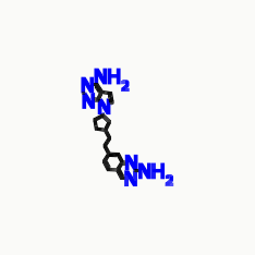 Nc1ncc2ccc(CCC3CCC(n4ccc5c(N)ncnc54)C3)cc2n1